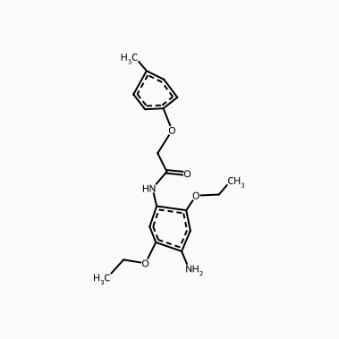 CCOc1cc(NC(=O)COc2ccc(C)cc2)c(OCC)cc1N